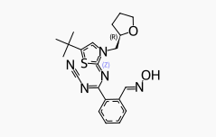 CC(C)(C)c1cn(C[C@H]2CCCO2)/c(=N/C(=NC#N)c2ccccc2C=NO)s1